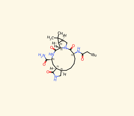 CC(C)(C)CC(=O)N[C@H]1CCCC[C@H]2CNC(=O)[C@H]2C[C@@H](C(N)=O)NC(=O)[C@@H]2[C@@H]3[C@H](CN2C1=O)C3(C)C